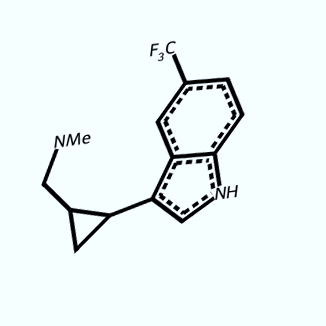 CNCC1CC1c1c[nH]c2ccc(C(F)(F)F)cc12